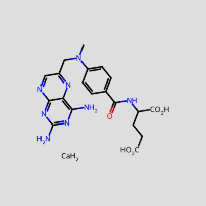 CN(Cc1cnc2nc(N)nc(N)c2n1)c1ccc(C(=O)NC(CCC(=O)O)C(=O)O)cc1.[CaH2]